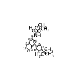 CC(C)(C)OC(=O)NCc1cc2ccccc2c(-c2ccc(C(C)(C)C)cc2)n1